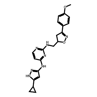 COc1ccc(C2=NOC(CNc3nccc(Nc4cc(C5CC5)[nH]n4)n3)C2)cc1